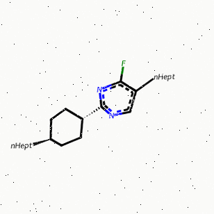 CCCCCCCc1cnc([C@H]2CC[C@H](CCCCCCC)CC2)nc1F